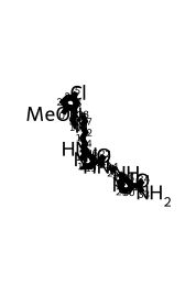 COc1ccc(Cl)cc1N1CCN(CCCNc2nccc(C(=O)NCCNc3nccc(C(N)=O)n3)n2)CC1